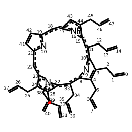 C=CCC1=C(CC=C)c2nc1c(CC=C)c1[nH]c(cc3nc(cc4c(CC=C)c(CC=C)c(c2CC=C)n4CC=C)C=C3)cc1CC=C